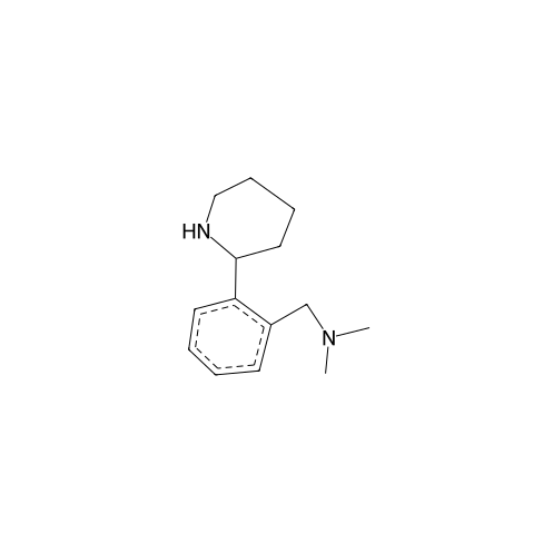 CN(C)Cc1ccccc1C1CCCCN1